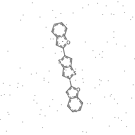 c1ccc2oc(-c3cc4sc(-c5cc6ccccc6o5)cc4s3)cc2c1